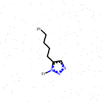 CCn1nncc1CCCCC(C)C